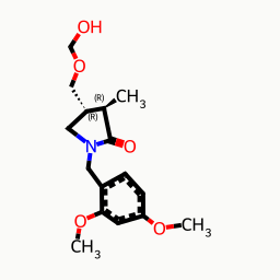 COc1ccc(CN2C[C@H](COCO)[C@@H](C)C2=O)c(OC)c1